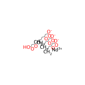 C=CCCC(=O)CC(=O)[O-].C=CCCC(=O)CC(=O)[O-].C=CCCC(=O)CC(=O)[O-].CC(=O)CC(=O)O.[Nd+3]